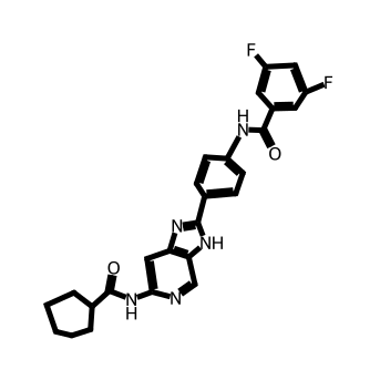 O=C(Nc1ccc(-c2nc3cc(NC(=O)C4CCCCC4)ncc3[nH]2)cc1)c1cc(F)cc(F)c1